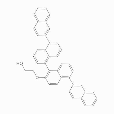 OCCOc1ccc2c(-c3ccc4ccccc4c3)cccc2c1-c1cccc2c(-c3ccc4ccccc4c3)cccc12